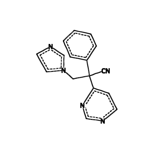 N#CC(Cn1ccnc1)(c1ccccc1)c1ccncn1